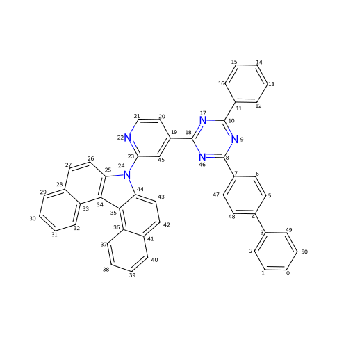 c1ccc(-c2ccc(-c3nc(-c4ccccc4)nc(-c4ccnc(-n5c6ccc7ccccc7c6c6c7ccccc7ccc65)c4)n3)cc2)cc1